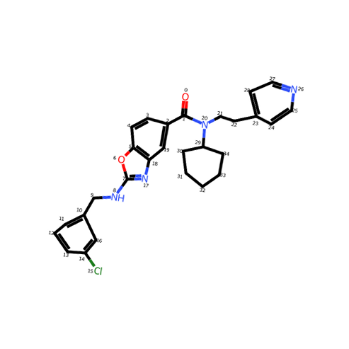 O=C(c1ccc2oc(NCc3cccc(Cl)c3)nc2c1)N(CCc1ccncc1)C1CCCCC1